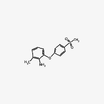 Cc1cccc(Oc2ccc(S(C)(=O)=O)cc2)c1N